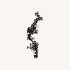 Cc1ncsc1-c1ccc([C@H](C)NC(=O)[C@@H]2C[C@@H](O)CN2C(=O)[C@@H](NC(=O)CCCCCNC(=O)[C@H]2CCN(CC[C@H](CSc3ccccc3)Nc3ccc(S(=O)(=O)NC(=O)c4ccc(N5CCN(CC6=C(C78CC(C(F)F)(C7)C8)CC(C)(C)CC6)CC5)cc4)cc3S(=O)(=O)C(F)(F)F)C2)C(C)(C)C)cc1